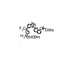 COCC(C)(C)Oc1cccc2ccc(-c3nnc4ccc([C@@H](N5CCC(N)C5)C(F)(F)F)cn34)nc12.O=CO